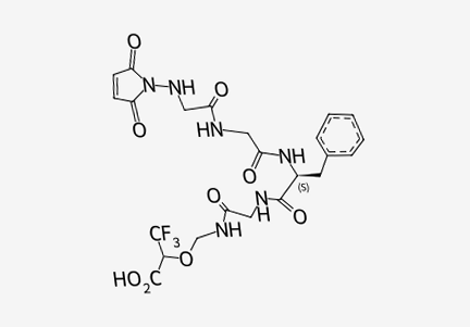 O=C(CNC(=O)[C@H](Cc1ccccc1)NC(=O)CNC(=O)CNN1C(=O)C=CC1=O)NCOC(C(=O)O)C(F)(F)F